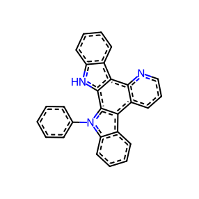 c1ccc(-n2c3ccccc3c3c4cccnc4c4c5ccccc5[nH]c4c32)cc1